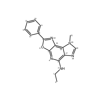 CCNc1nc2oc(-c3ccccc3)nc2c2c1ncn2C